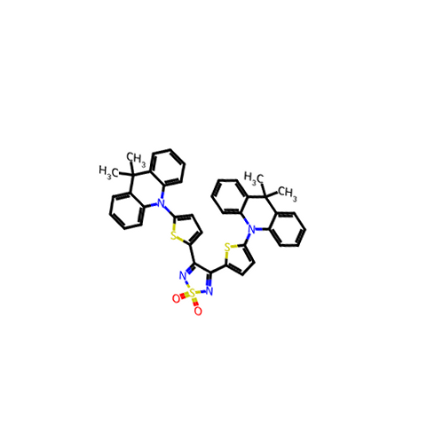 CC1(C)c2ccccc2N(c2ccc(C3=NS(=O)(=O)N=C3c3ccc(N4c5ccccc5C(C)(C)c5ccccc54)s3)s2)c2ccccc21